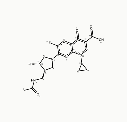 CC(=O)NC[C@@H]1CN(c2nc3c(cc2F)c(=O)c(C(=O)O)cn3C2CC2)C[C@H]1F